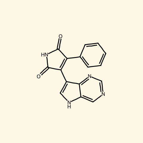 O=C1NC(=O)C(c2c[nH]c3cncnc23)=C1c1ccccc1